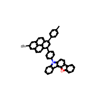 Cc1ccc(-c2cc(-c3ccc(-n4c5ccccc5c5c6oc7ccccc7c6ccc54)cc3)c3ccc4cc(C(C)(C)C)cc5ccc2c3c54)cc1